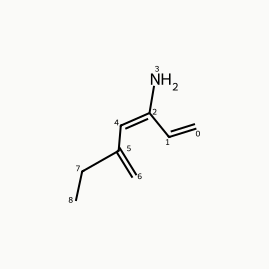 C=C/C(N)=C\C(=C)CC